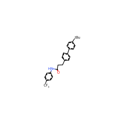 CC(C)(C)c1ccc(-c2ccc(CCC(=O)Nc3ccc(C(F)(F)F)cc3)cc2)cc1